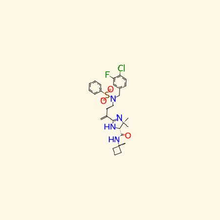 C=C(CCN(Cc1ccc(Cl)c(F)c1)S(=O)(=O)c1ccccc1)C1=NC(C)(C)[C@H](C(=O)NC2(C)CCC2)N1